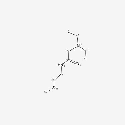 CCN(CC)CC(=O)NCCOC